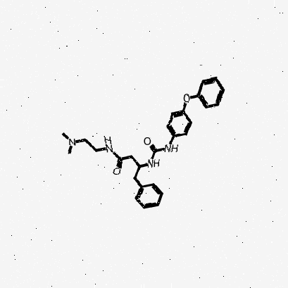 CN(C)CCNC(=O)CC(Cc1ccccc1)NC(=O)Nc1ccc(Oc2ccccc2)cc1